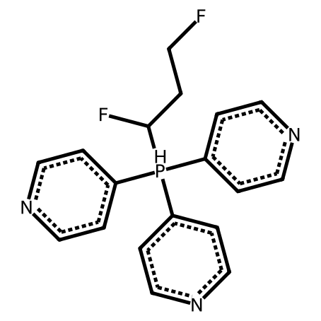 FCCC(F)[PH](c1ccncc1)(c1ccncc1)c1ccncc1